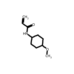 C=CC(=O)NC1CCC(OC)CC1